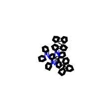 c1ccc(N(c2ccccc2)c2cc3c4c(c2)N(c2ccccc2)c2ccc([Si](c5ccccc5)(c5ccccc5)c5ccccc5)cc2B4c2ccccc2N3c2cccc([Si](c3ccccc3)(c3ccccc3)c3ccccc3)c2)cc1